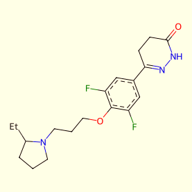 CCC1CCCN1CCCOc1c(F)cc(C2=NNC(=O)CC2)cc1F